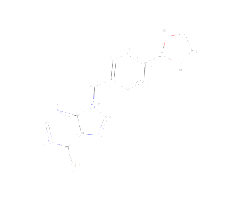 Sc1ncnc2c1ncn2Cc1ccc(B2OCCO2)cc1